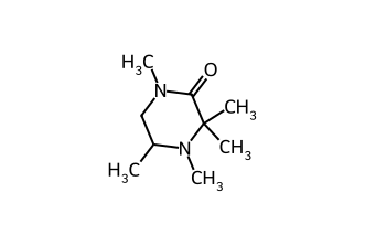 CC1CN(C)C(=O)C(C)(C)N1C